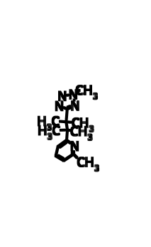 Cc1cccc(C(C)(C)C(C)(C)c2nnn(C)n2)n1